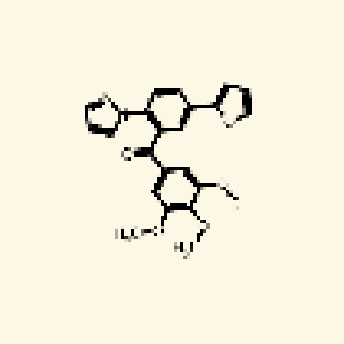 COc1cc(C(=O)c2cc(-c3ccco3)ccc2-n2cccn2)cc(OC)c1OC